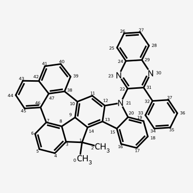 CC1(C)c2cccc3c2-c2c(cc4c(c21)c1ccccc1n4-c1nc2ccccc2nc1-c1ccccc1)-c1cccc2cccc-3c12